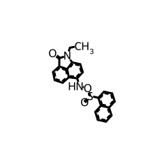 CCN1C(=O)c2cccc3c(NOS(=O)c4cccc5ccccc45)ccc1c23